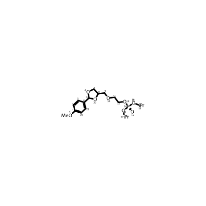 COc1ccc(C2OCC(COCCOP(=O)(OC(C)C)OC(C)C)O2)cc1